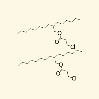 CCCCCCCCC(CCCCCC)COC(=O)CCCl.CCCCCCCCC(CCCCCC)COC(=O)CCCl